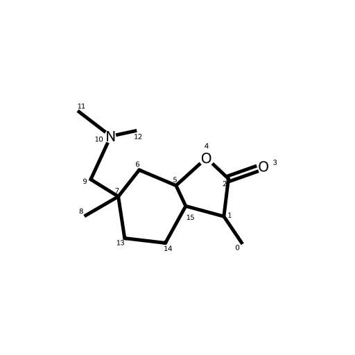 CC1C(=O)OC2CC(C)(CN(C)C)CCC21